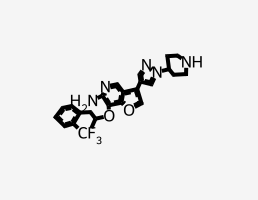 CC(Cc1ccccc1C(F)(F)F)Oc1c(N)ncc2c(-c3cnn(C4CCNCC4)c3)coc12